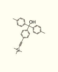 Cc1ccc(C(O)(c2ccc(C)cc2)c2ccc(C#C[Si](C)(C)C)cc2)cc1